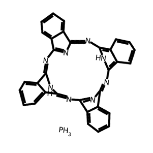 P.c1ccc2c(c1)-c1nc-2nc2[nH]c(nc3nc(nc4[nH]c(n1)c1ccccc41)-c1ccccc1-3)c1ccccc21